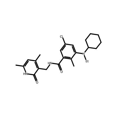 CCN(c1cc(Cl)cc(C(=O)NCc2c(C)cc(C)[nH]c2=O)c1C)C1CCCCC1